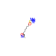 Cc1cc(CCCCCCCOSc2nnnn2C)on1